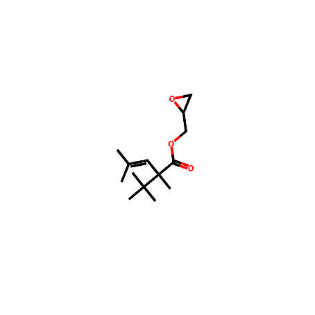 CC(C)=CC(C)(C(=O)OCC1CO1)C(C)(C)C